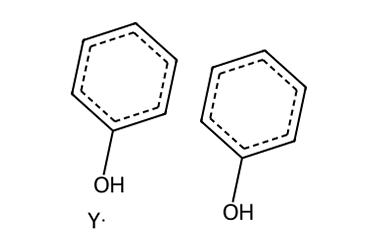 Oc1ccccc1.Oc1ccccc1.[Y]